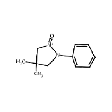 CC1(C)CN(c2ccccc2)[N+](=O)C1